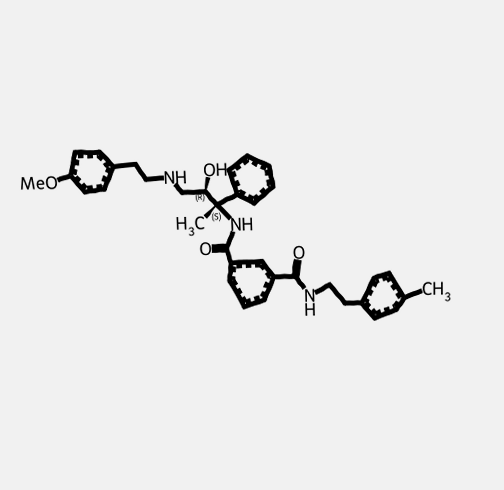 COc1ccc(CCNC[C@@H](O)[C@@](C)(NC(=O)c2cccc(C(=O)NCCc3ccc(C)cc3)c2)c2ccccc2)cc1